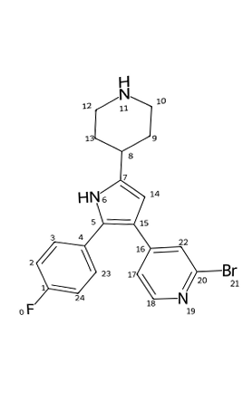 Fc1ccc(-c2[nH]c(C3CCNCC3)cc2-c2ccnc(Br)c2)cc1